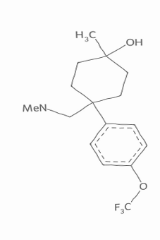 CNCC1(c2ccc(OC(F)(F)F)cc2)CCC(C)(O)CC1